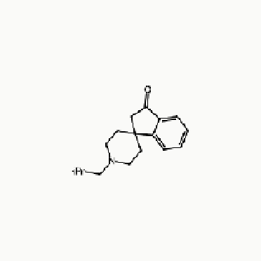 C[C](C)CN1CCC2(CC1)CC(=O)c1ccccc12